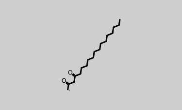 [CH2]C(=O)CC(=O)CCCCCCCCCCCCCC